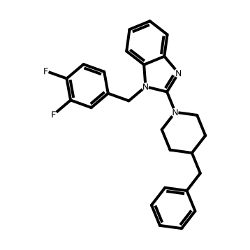 Fc1ccc(Cn2c(N3CCC(Cc4ccccc4)CC3)nc3ccccc32)cc1F